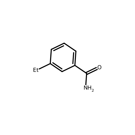 [CH2]Cc1cccc(C(N)=O)c1